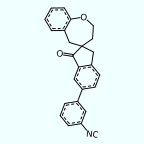 [C-]#[N+]c1cccc(-c2ccc3c(c2)C(=O)C2(CCOc4ccccc4C2)C3)c1